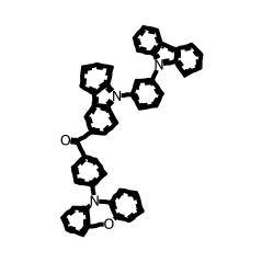 O=C(c1ccc(N2c3ccccc3Oc3ccccc32)cc1)c1ccc2c(c1)c1ccccc1n2-c1cccc(-n2c3ccccc3c3ccccc32)c1